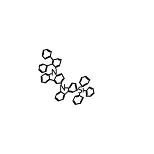 c1ccc(-c2cccc(-n3c4ccccc4c4cc(-n5c6ccccc6c6cc([Si](c7ccccc7)(c7ccccc7)c7ccccc7)ccc65)ccc43)c2-c2ccccc2)cc1